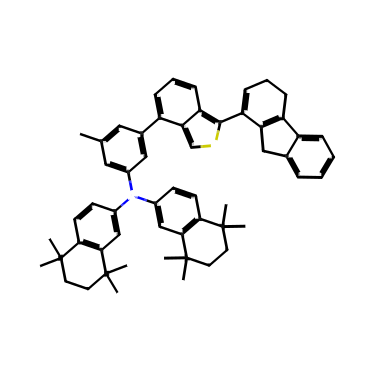 Cc1cc(-c2cccc3c(C4=CCCC5=C4Cc4ccccc45)scc23)cc(N(c2ccc3c(c2)C(C)(C)CCC3(C)C)c2ccc3c(c2)C(C)(C)CCC3(C)C)c1